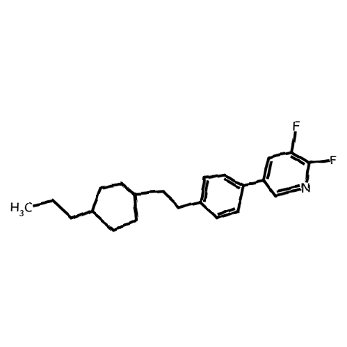 CCCC1CCC(CCc2ccc(-c3cnc(F)c(F)c3)cc2)CC1